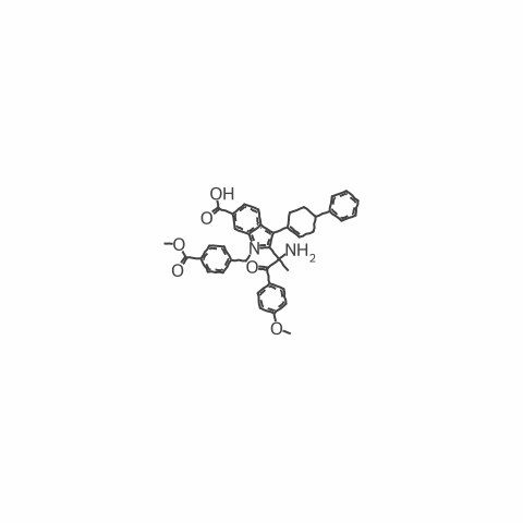 COC(=O)c1ccc(Cn2c(C(C)(N)C(=O)c3ccc(OC)cc3)c(C3=CCC(c4ccccc4)CC3)c3ccc(C(=O)O)cc32)cc1